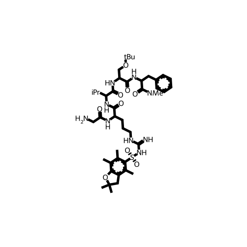 CNC(=O)C(Cc1ccccc1)NC(=O)C(COC(C)(C)C)NC(=O)C(NC(=O)C(CCCNC(=N)NS(=O)(=O)c1c(C)c(C)c2c(c1C)CC(C)(C)O2)NC(=O)CN)C(C)C